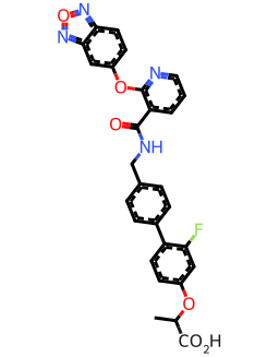 CC(Oc1ccc(-c2ccc(CNC(=O)c3cccnc3Oc3ccc4nonc4c3)cc2)c(F)c1)C(=O)O